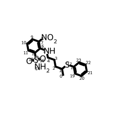 CC(CCCNc1c([N+](=O)[O-])cccc1S(N)(=O)=O)Sc1ccccc1